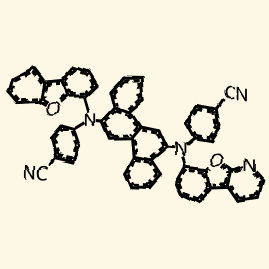 N#Cc1ccc(N(c2cc3c4ccccc4c(N(c4ccc(C#N)cc4)c4cccc5c4oc4ncccc45)cc3c3ccccc23)c2cccc3c2oc2ccccc23)cc1